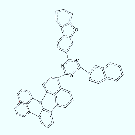 c1ccc(-c2cccc3c2N(c2ccccc2)c2ccc(-c4nc(-c5ccc6ccccc6c5)nc(-c5ccc6c(c5)oc5ccccc56)n4)c4cccc-3c24)cc1